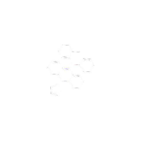 c1ccc2c(c1)Nc1ccccc1O2.c1ccc2nc3ccccc3nc2c1.c1cnoc1